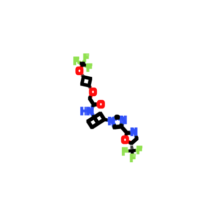 O=C(CO[C@H]1C[C@@H](OC(F)(F)F)C1)NC12CCC1C(n1cnc(C3=NC[C@H](C(F)(F)F)O3)c1)C2